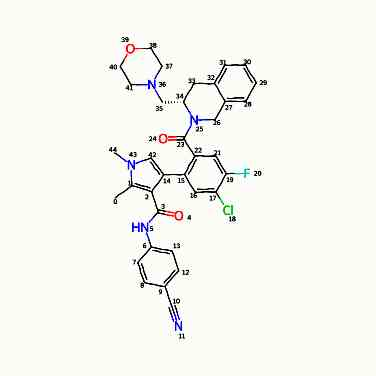 Cc1c(C(=O)Nc2ccc(C#N)cc2)c(-c2cc(Cl)c(F)cc2C(=O)N2Cc3ccccc3C[C@H]2CN2CCOCC2)cn1C